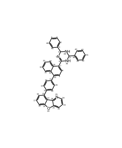 c1ccc(C2N=C(c3ccc(-c4ccc(-c5cccc6oc7cccnc7c56)cc4)c4ccccc34)NC(c3ccccc3)N2)cc1